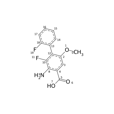 COc1cc(C(=O)O)c(N)c(F)c1-c1ccccc1F